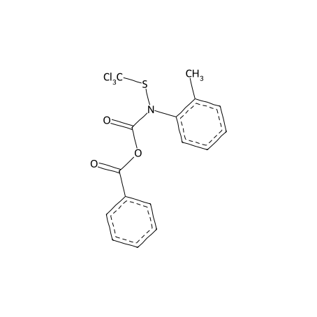 Cc1ccccc1N(SC(Cl)(Cl)Cl)C(=O)OC(=O)c1ccccc1